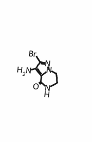 Nc1c(Br)nn2c1C(=O)NCC2